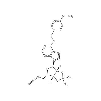 COc1ccc(CNc2ncnc3c2ncn3[C@@H]2O[C@H](CN=[N+]=[N-])[C@H]3OC(C)(C)O[C@H]32)cc1